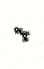 COc1cc([N+](=O)[O-])cc(/C=N/NC(=O)c2ccccc2C)c1O